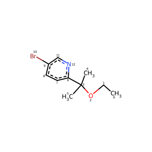 CCOC(C)(C)c1ccc(Br)cn1